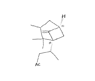 C=C1[C@H]2CC(C)C(C)(C)[C@]1(C(C)CC(C)=O)C2